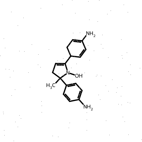 CC1(c2ccc(N)cc2)CC=C(C2C=CC(N)=CC2)N1O